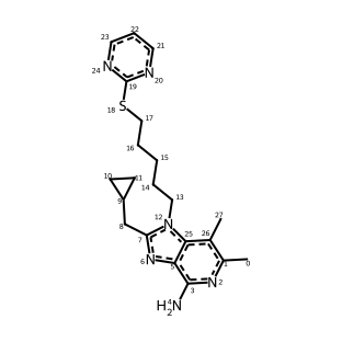 Cc1nc(N)c2nc(CC3CC3)n(CCCCCSc3ncccn3)c2c1C